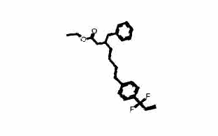 C=CC(F)(F)c1ccc(CCCCC(CC(=O)OCC)Cc2ccccc2)cc1